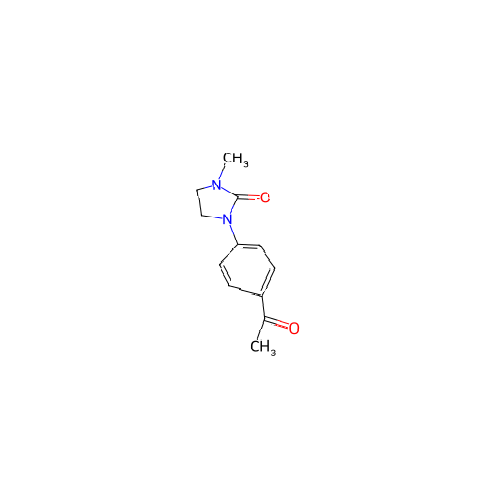 CC(=O)c1ccc(N2CCN(C)C2=O)cc1